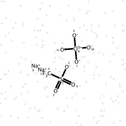 O=S(=O)([O-])C(F)(F)F.[Na+].[Na+].[O-][Cl+3]([O-])([O-])[O-]